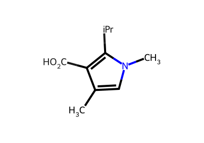 Cc1cn(C)c(C(C)C)c1C(=O)O